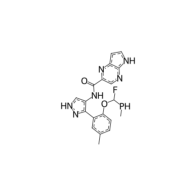 CPC(F)Oc1ccc(C)cc1-c1n[nH]cc1NC(=O)c1cnc2[nH]ccc2n1